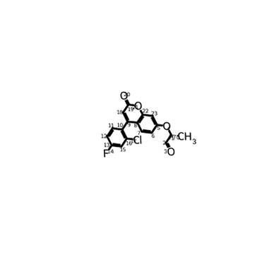 C[C@H](C=O)Oc1ccc2c(-c3ccc(F)cc3Cl)cc(=O)oc2c1